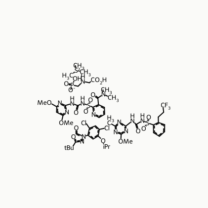 CC(C)Oc1cc(-n2nc(C(C)(C)C)oc2=O)c(Cl)cc1Cl.COc1cc(OC)nc(NC(=O)NS(=O)(=O)c2ncccc2C(=O)N(C)C)n1.COc1nc(C)nc(NC(=O)NS(=O)(=O)c2ccccc2CCC(F)(F)F)n1.C[S+](C)C.O=C(O)CNCP(=O)([O-])O